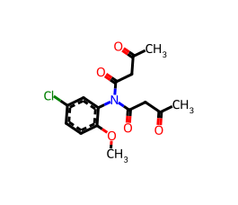 COc1ccc(Cl)cc1N(C(=O)CC(C)=O)C(=O)CC(C)=O